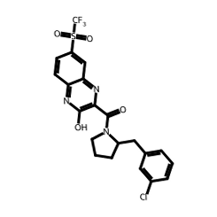 O=C(c1nc2cc(S(=O)(=O)C(F)(F)F)ccc2nc1O)N1CCCC1Cc1cccc(Cl)c1